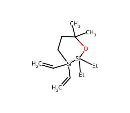 C=C[Si]1(C=C)CCC(C)(C)O[Si]1(CC)CC